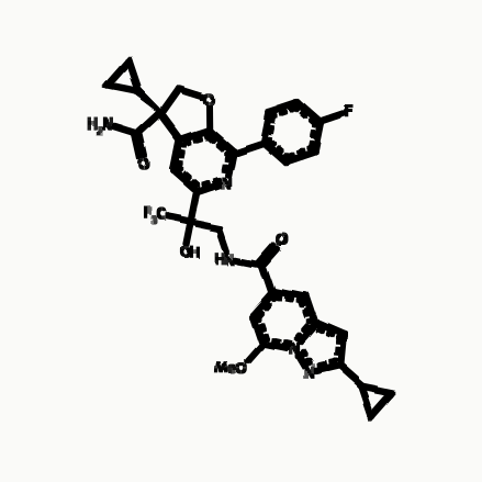 COc1cc(C(=O)NCC(O)(c2cc3c(c(-c4ccc(F)cc4)n2)OC[C@]3(C(N)=O)C2CC2)C(F)(F)F)cc2cc(C3CC3)nn12